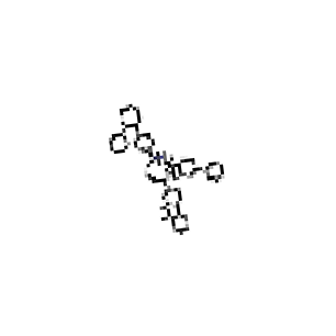 CN1C(C2=CC3Oc4ccccc4C3C=C2)=C=CC/C(c2ccc(C3=C(C4C=CC=CC4)CC=CC=C3)cc2)=N\C1(C)C1C=CC(c2ccccc2)=CC1